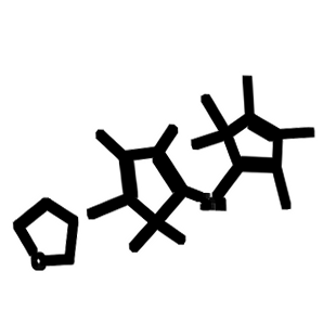 C1CCOC1.CC1=C(C)C(C)(C)[C]([Sm][C]2=C(C)C(C)=C(C)C2(C)C)=C1C